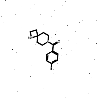 Cc1ccc(C(=O)N2CCC3(CCN3)CC2)cc1